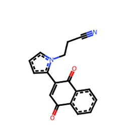 N#CCCn1cccc1C1=CC(=O)c2ccccc2C1=O